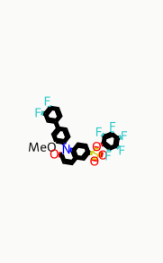 COc1cc(-c2ccc(F)c(F)c2)ccc1-n1c(=O)ccc2cc(S(=O)(=O)Oc3c(F)c(F)c(F)c(F)c3F)ccc21